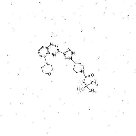 CC(C)(C)OC(=O)N1CCC(n2cc(-c3cnc4cccc(N5CCOCC5)c4n3)cn2)CC1